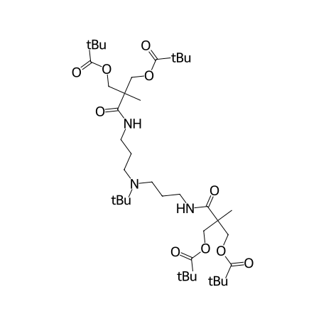 CC(C)(C)C(=O)OCC(C)(COC(=O)C(C)(C)C)C(=O)NCCCN(CCCNC(=O)C(C)(COC(=O)C(C)(C)C)COC(=O)C(C)(C)C)C(C)(C)C